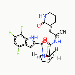 N#C[C@H](C[C@@H]1CCCNC1=O)NC(=O)[C@@H]1[C@H]2CC[C@H](CC2(F)F)N1C(=O)c1cc2c(F)cc(F)c(F)c2[nH]1